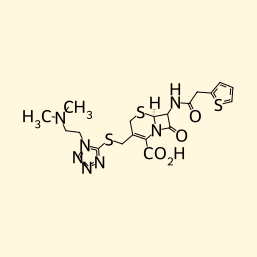 CN(C)CCn1nnnc1SCC1=C(C(=O)O)N2C(=O)C(NC(=O)Cc3cccs3)[C@@H]2SC1